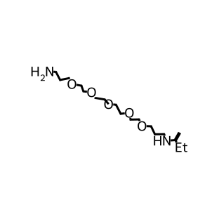 C=C(CC)NCCCOCCOCCOCCOCCOCCCN